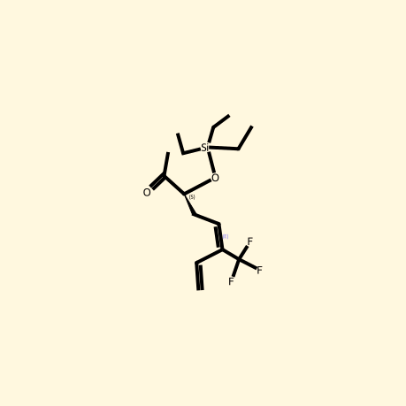 C=C/C(=C\C[C@H](O[Si](CC)(CC)CC)C(C)=O)C(F)(F)F